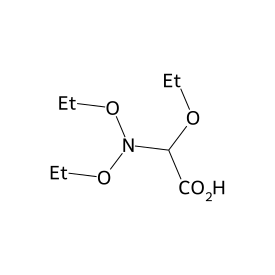 CCOC(C(=O)O)N(OCC)OCC